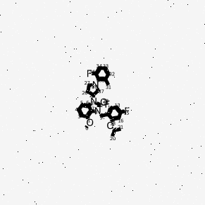 COc1cccc2c1n(Cc1c(F)cc(F)cc1OC(C)C)c(=O)n2C1CCN(c2c(C)cccc2F)C1